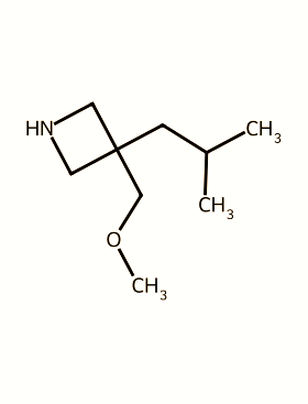 COCC1(CC(C)C)CNC1